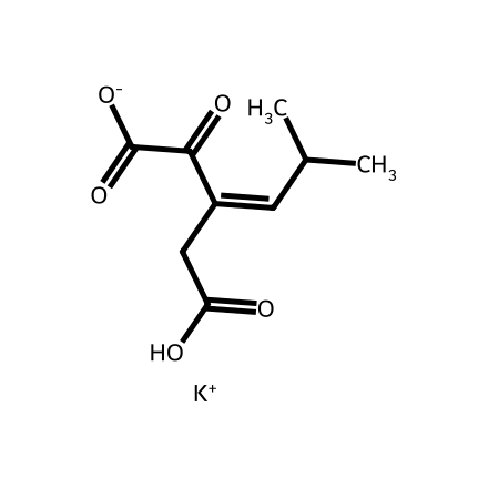 CC(C)C=C(CC(=O)O)C(=O)C(=O)[O-].[K+]